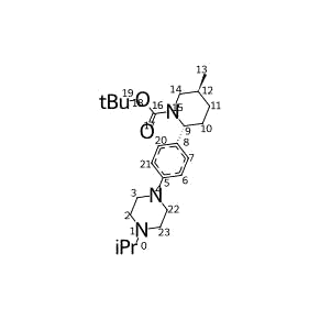 CC(C)N1CCN(c2ccc([C@H]3CC[C@H](C)CN3C(=O)OC(C)(C)C)cc2)CC1